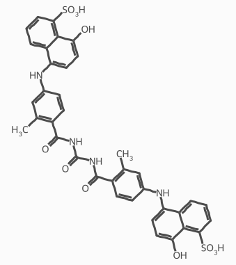 Cc1cc(Nc2ccc(O)c3c(S(=O)(=O)O)cccc23)ccc1C(=O)NC(=O)NC(=O)c1ccc(Nc2ccc(O)c3c(S(=O)(=O)O)cccc23)cc1C